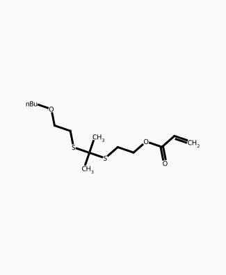 C=CC(=O)OCCSC(C)(C)SCCOCCCC